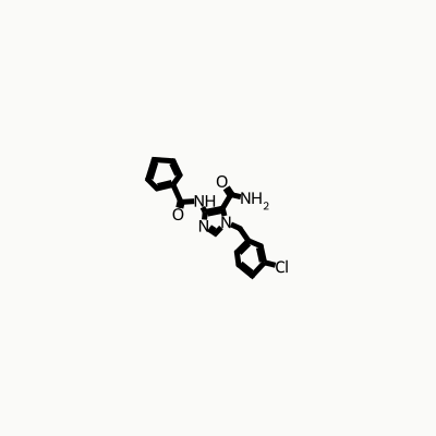 NC(=O)c1c(NC(=O)c2ccccc2)ncn1Cc1cccc(Cl)c1